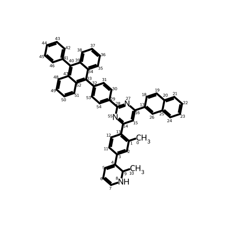 Cc1cc(C2=CC=CNC2C)ccc1-c1cc(-c2ccc3ccccc3c2)nc(-c2ccc(-c3c4ccccc4c(-c4ccccc4)c4ccccc34)cc2)n1